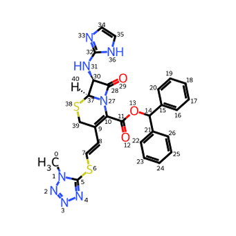 Cn1nnnc1SC=CC1=C(C(=O)OC(c2ccccc2)c2ccccc2)N2C(=O)[C@H](Nc3ncc[nH]3)[C@@H]2SC1